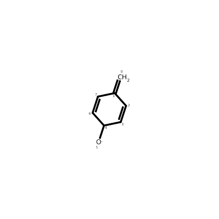 C=C1C=CC([O])C=C1